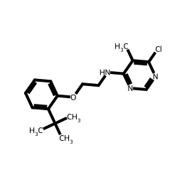 Cc1c(Cl)ncnc1NCCOc1ccccc1C(C)(C)C